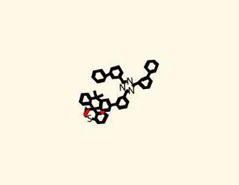 CC1(C)c2ccccc2C2(c3ccccc3Sc3ccccc32)c2ccc(-c3cccc(-c4nc(-c5cccc(-c6ccccc6)c5)nc(-c5cccc(-c6ccccc6)c5)n4)c3)cc21